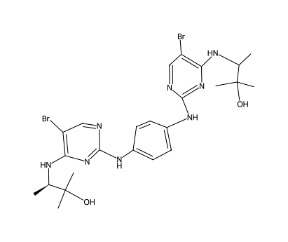 CC(Nc1nc(Nc2ccc(Nc3ncc(Br)c(N[C@H](C)C(C)(C)O)n3)cc2)ncc1Br)C(C)(C)O